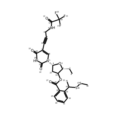 CC[C@H]1O[C@@H](n2cc(C#CCNC(=O)C(F)(F)F)c(=O)[nH]c2=O)CC1OC(=O)c1ccccc1C(C)SSC